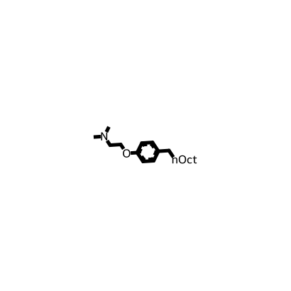 CCCCCCCCCc1ccc(OCCN(C)C)cc1